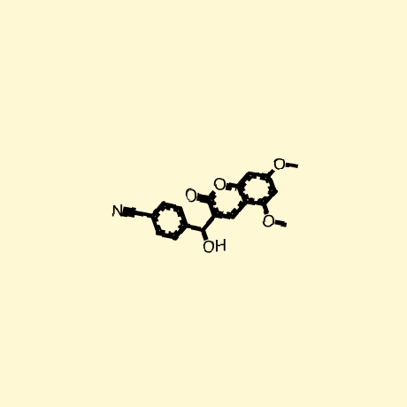 COc1cc(OC)c2cc(C(O)c3ccc(C#N)cc3)c(=O)oc2c1